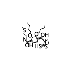 CCCCOC1C(OCCCC)[C@@H]([C@H](O)N2CCS[C@H]2S)C=C[C@H]1[C@@H](O)N(C)CCSC